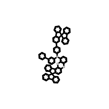 c1ccc(-c2cccc(N(c3ccc(-c4ccc5c(c4)C4(c6ccccc6-c6ccccc64)c4ccccc4-5)cc3)c3cccc4c3Oc3c(ccc5c3-c3ccccc3C53c5ccccc5-c5ccccc53)O4)c2)cc1